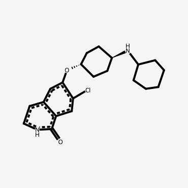 O=c1[nH]ccc2cc(O[C@H]3CC[C@H](NC4CCCCC4)CC3)c(Cl)cc12